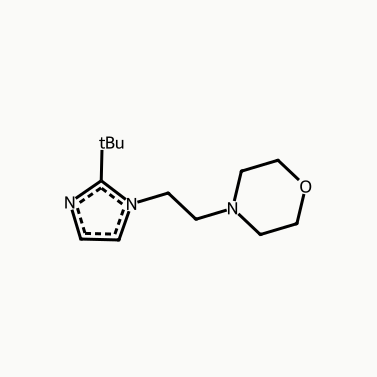 CC(C)(C)c1nccn1CCN1CCOCC1